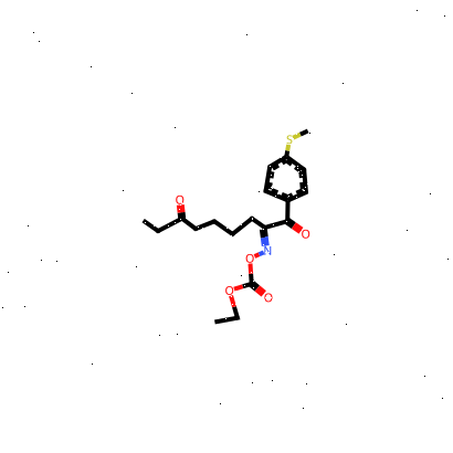 CCOC(=O)O/N=C(\CCCCC(=O)CC)C(=O)c1ccc(SC)cc1